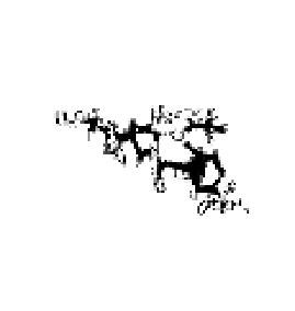 C[C@H](Oc1ccc(S(C)(=O)=O)cc1C(=O)N1CC2(N)CC2(c2nc(C(C)(F)F)no2)C1)C(F)(F)F